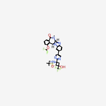 CN1C(=O)c2cccc(OC(F)F)c2[C@H]2C[C@@H]1c1nc3ccc(-c4cnc(C5(N[S@+]([O-])C(C)(C)C)CC(O)(C(F)(F)F)C5)nc4)cc3n12